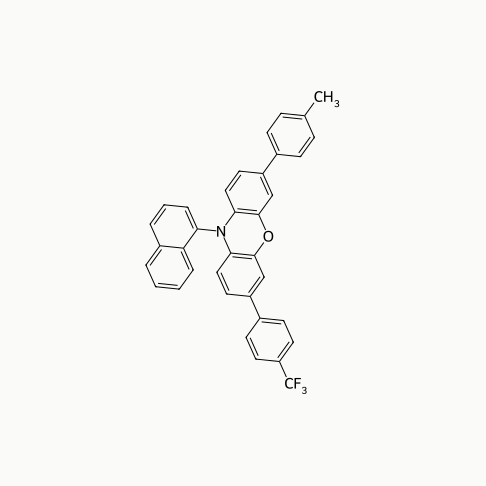 Cc1ccc(-c2ccc3c(c2)Oc2cc(-c4ccc(C(F)(F)F)cc4)ccc2N3c2cccc3ccccc23)cc1